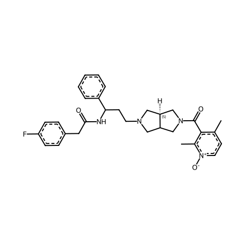 Cc1cc[n+]([O-])c(C)c1C(=O)N1CC2CN(CCC(NC(=O)Cc3ccc(F)cc3)c3ccccc3)C[C@H]2C1